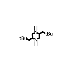 CC(C)(C)CC1CNC(CC(C)(C)C)CN1